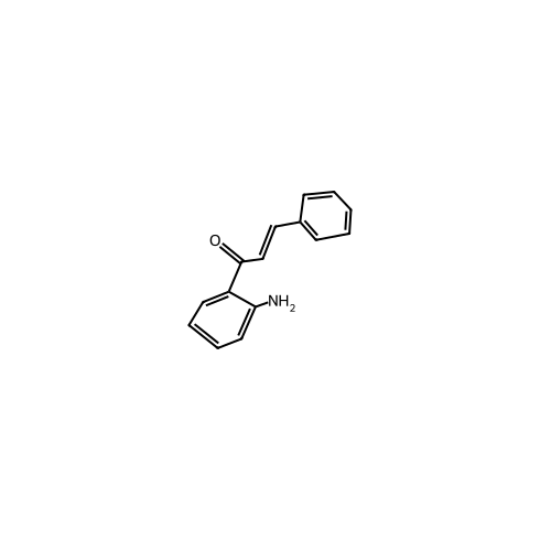 Nc1ccccc1C(=O)/C=C/c1ccccc1